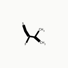 C=C(C)C(F)=C=S